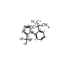 CC(C)(C)c1ccccc1-n1cnnc1C(F)(F)F